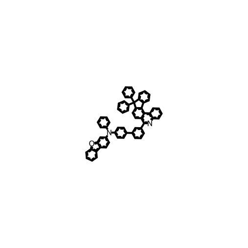 c1ccc(N(c2ccc(-c3cccc(-c4nc5ccccc5c5c6c(ccc45)C(c4ccccc4)(c4ccccc4)c4ccccc4-6)c3)cc2)c2ccc3c(c2)oc2ccccc23)cc1